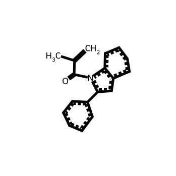 C=C(C)C(=O)n1c(-c2ccccc2)cc2ccccc21